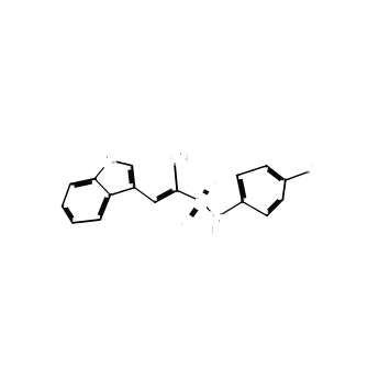 N#C/C(=C\c1c[nH]c2ccccc12)S(=O)(=O)Nc1ccc(F)cc1